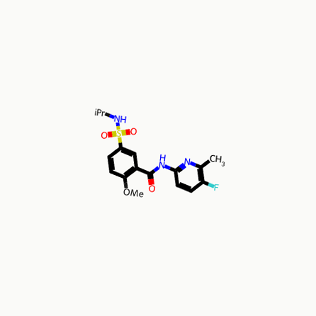 COc1ccc(S(=O)(=O)NC(C)C)cc1C(=O)Nc1ccc(F)c(C)n1